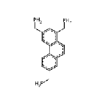 PCc1ccc2c(ccc3c(CP)cc(CP)cc32)c1